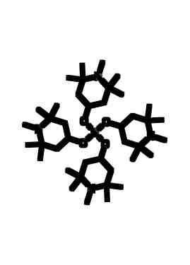 CN1C(C)(C)CC(O[Si](OC2CC(C)(C)N(C)C(C)(C)C2)(OC2CC(C)(C)N(C)C(C)(C)C2)OC2CC(C)(C)N(C)C(C)(C)C2)CC1(C)C